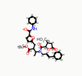 CC(C(Cc1ccc(C(=O)Nc2ccccc2)o1)C(=O)OC(C)(C)C)N(CC=Cc1ccccc1)C(=O)C1OC(=O)CC1C(=O)O